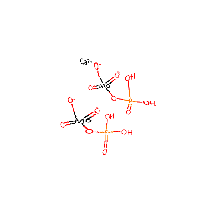 O=P(O)(O)[O][Mo](=[O])(=[O])[O-].O=P(O)(O)[O][Mo](=[O])(=[O])[O-].[Ca+2]